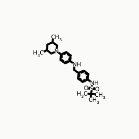 CC1CC(C)CN(c2ccc(NCc3ccc(NS(=O)(=O)C(C)(C)C)cc3)cc2)C1